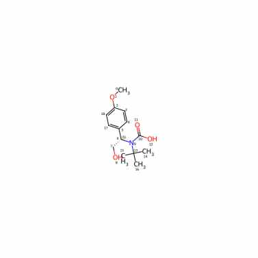 COc1ccc([C@@H](CO)N(C(=O)O)C(C)(C)C)cc1